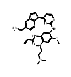 C=CC(=O)Nc1cc(Nc2nccc(-n3ccc4cc(CN)ccc43)n2)c(OC)cc1N(C)CCN(C)C